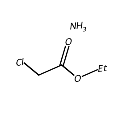 CCOC(=O)CCl.N